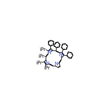 CC(C)C1=C2N=C(C(c3ccccc3)=C3N=C(C=C4C=CC(=N4)C=C4N=C1C(C(C)C)=C4C(C)C)C(c1ccccc1)=C3c1ccccc1)C(c1ccccc1)=C2C(C)C